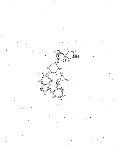 C#C[C@@]1(OC(=O)N2CCN(c3ccn4ncc(-c5cccnc5OC5CC5)c4n3)CC2)CCNC1